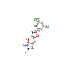 O=C1NC(=S)SC1=Cc1ccc(-c2cc(Cl)cc(Cl)c2)o1